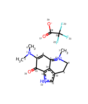 CN(C)C1=CC2=[N+](C)CCc3c[nH]c(c32)C1=O.O=C([O-])C(F)(F)F